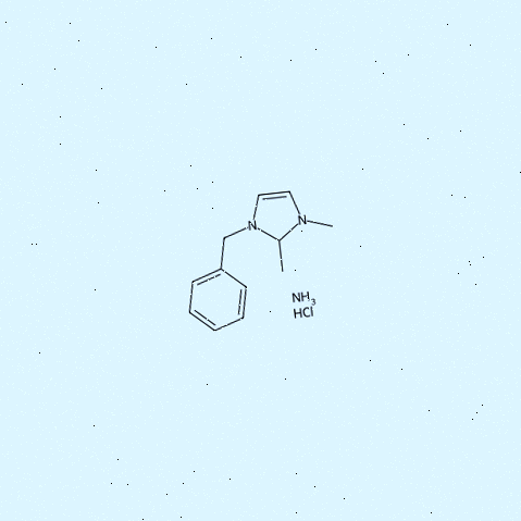 CC1N(C)C=CN1Cc1ccccc1.Cl.N